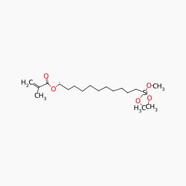 C=C(C)C(=O)O[CH]CCCCCCCCCC[Si](OC)(OC)OC